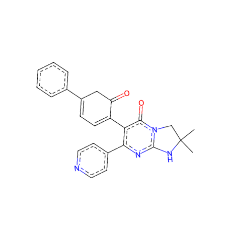 CC1(C)Cn2c(nc(-c3ccncc3)c(C3=CC=C(c4ccccc4)CC3=O)c2=O)N1